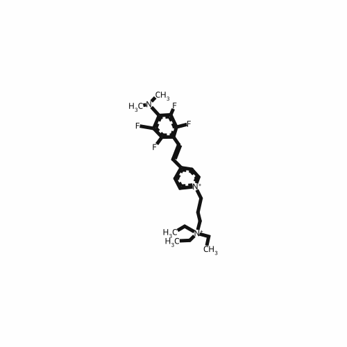 CC[N+](CC)(CC)CCC[n+]1ccc(C=Cc2c(F)c(F)c(N(C)C)c(F)c2F)cc1